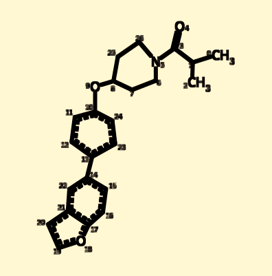 CC(C)C(=O)N1CCC(Oc2ccc(-c3ccc4occc4c3)cc2)CC1